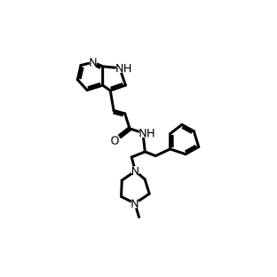 CN1CCN(CC(Cc2ccccc2)NC(=O)C=Cc2c[nH]c3ncccc23)CC1